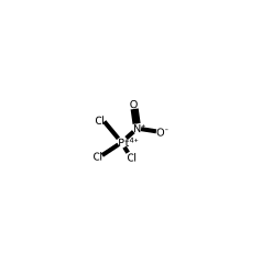 O=[N+]([O-])[Pt+4]([Cl])([Cl])[Cl]